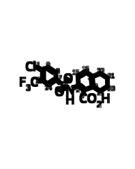 O=C(O)c1c(NS(=O)(=O)c2ccc(Cl)c(C(F)(F)F)c2)ccc2c1CCCC2